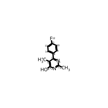 Cc1nc(O)c(C)c(-c2ccc(F)cc2)n1